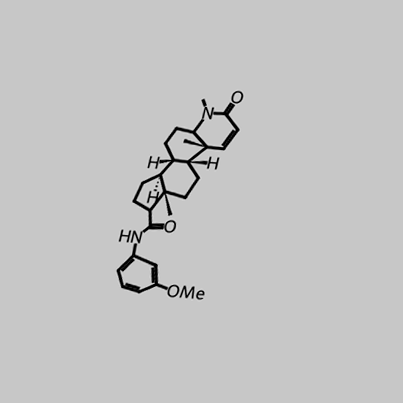 COc1cccc(NC(=O)C2CC[C@H]3[C@@H]4CCC5N(C)C(=O)C=C[C@]5(C)[C@@H]4CC[C@]23C)c1